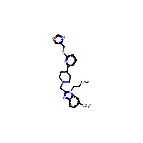 COCCn1c(CN2CCC(c3cccc(OCc4cscn4)n3)CC2)nc2ccc(C(=O)O)cc21